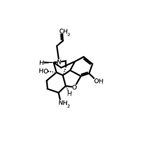 C=CCN1CC[C@@]23C4C5=C(O)C=CC4C[C@@H]1[C@]2(O)CCC(N)[C@@H]3O5